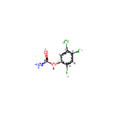 NC(=O)Oc1cc(Cl)c(F)cc1F